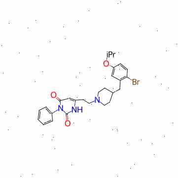 CC(C)Oc1ccc(Br)c(CC2CCN(CCc3cc(=O)n(-c4ccccc4)c(=O)[nH]3)CC2)c1